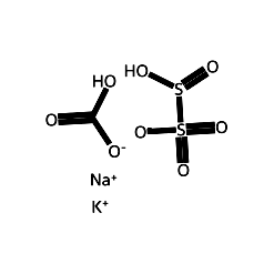 O=C([O-])O.O=S(O)S(=O)(=O)[O-].[K+].[Na+]